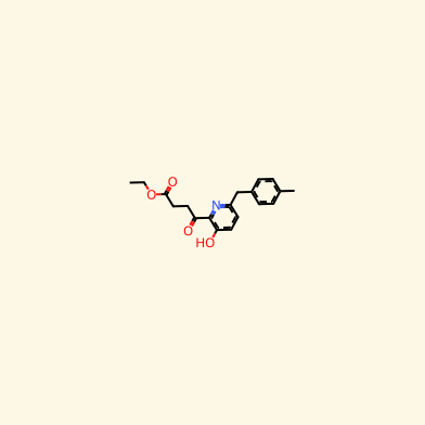 CCOC(=O)CCC(=O)c1nc(Cc2ccc(C)cc2)ccc1O